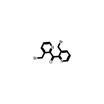 O=C(c1ncccc1CBr)c1ncccc1CBr